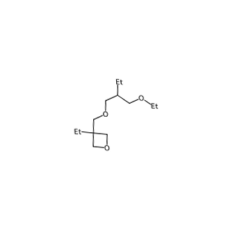 CCOCC(CC)COCC1(CC)COC1